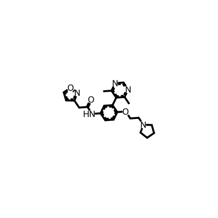 Cc1ncnc(C)c1-c1cc(NC(=O)Cc2ccon2)ccc1OCCN1CCCC1